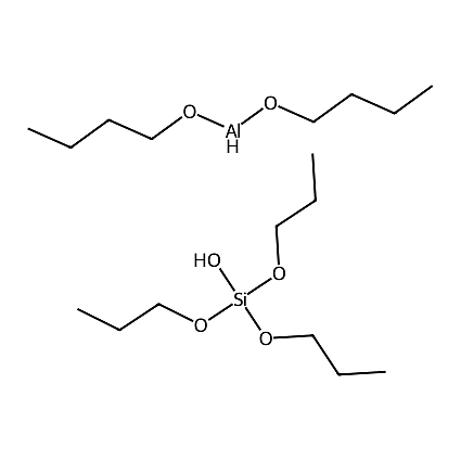 CCCC[O][AlH][O]CCCC.CCCO[Si](O)(OCCC)OCCC